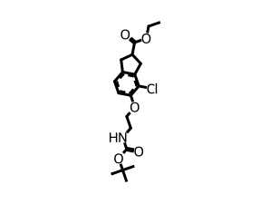 CCOC(=O)C1Cc2ccc(OCCNC(=O)OC(C)(C)C)c(Cl)c2C1